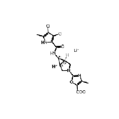 Cc1nc(N2C[C@@H]3[C@H](C2)[C@@H]3NC(=O)c2[nH]c(C)c(Cl)c2Cl)oc1C(=O)[O-].[Li+]